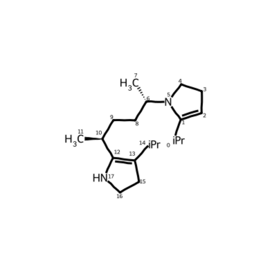 CC(C)C1=CCCN1[C@@H](C)CC[C@H](C)C1=C(C(C)C)CCN1